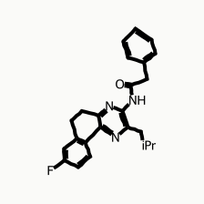 CC(C)Cc1nc2c(nc1NC(=O)Cc1ccccc1)CCc1cc(F)ccc1-2